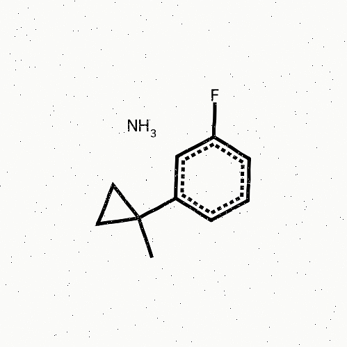 CC1(c2cccc(F)c2)CC1.N